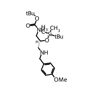 COc1ccc(CNC[C@H](CNC(=O)OC(C)(C)C)O[Si](C)(C)C(C)(C)C)cc1